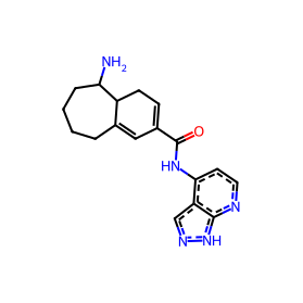 NC1CCCCC2=CC(C(=O)Nc3ccnc4[nH]ncc34)=CCC21